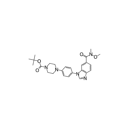 CON(C)C(=O)c1ccc2ncn(-c3ccc(N4CCN(C(=O)OC(C)(C)C)CC4)cc3)c2c1